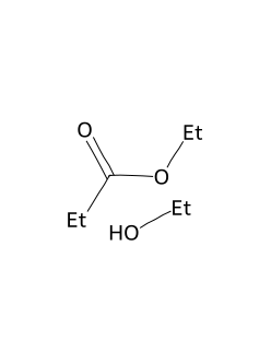 CCO.CCOC(=O)CC